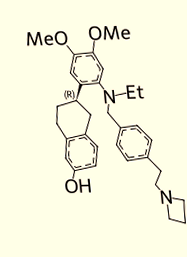 CCN(Cc1ccc(CCN2CCC2)cc1)c1cc(OC)c(OC)cc1[C@@H]1CCc2cc(O)ccc2C1